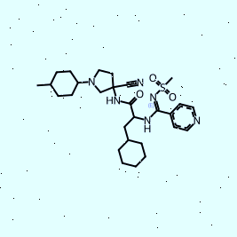 CC1CCC(N2CCC(C#N)(NC(=O)C(CC3CCCCC3)N/C(=N/S(C)(=O)=O)c3ccncc3)C2)CC1